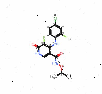 CC(C)ONC(=O)c1c[nH]c(=O)c(F)c1Nc1ccc(Cl)cc1F